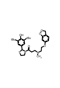 CN(CCOc1ccc2c(c1)OOC2)CCC(=O)N1CCSC1c1cc(C(C)(C)C)c(O)c(C(C)(C)C)c1